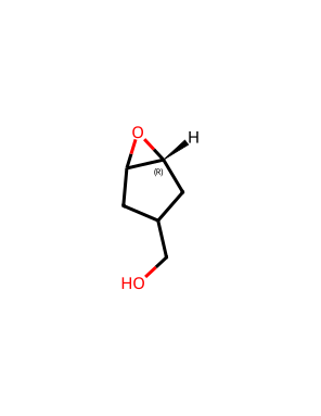 OCC1CC2O[C@@H]2C1